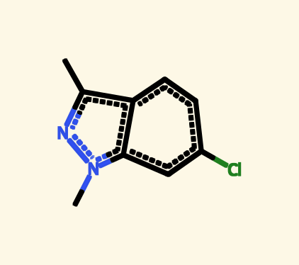 Cc1nn(C)c2cc(Cl)ccc12